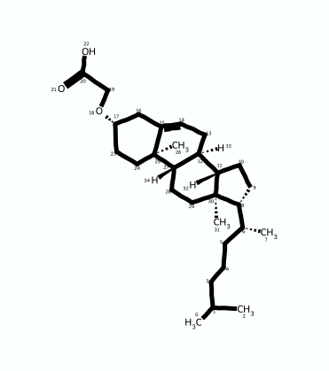 CC(C)CCC[C@@H](C)[C@H]1CC[C@H]2[C@@H]3CC=C4C[C@@H](OCC(=O)O)CC[C@]4(C)[C@H]3CC[C@]12C